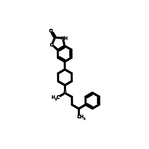 CC(CCN(C)C1CCC(c2ccc3[nH]c(=O)oc3c2)CC1)c1ccccc1